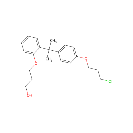 CC(C)(c1ccc(OCCCCl)cc1)c1ccccc1OCCCO